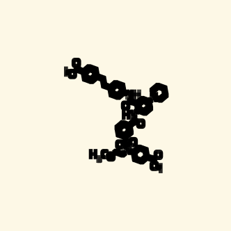 COCCN(C1CCC(C(=O)OI)CC1)S(=O)(=O)c1cccc(C(=O)Nc2ccc(N3CCCCC3)cc2C(=O)Nc2ccc(CCc3ccc(C(=O)OI)cc3)cc2)c1